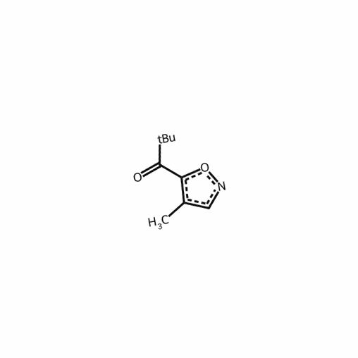 Cc1cnoc1C(=O)C(C)(C)C